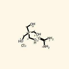 NC(N)=O.OC[P+](CO)(CO)CO.[Cl-]